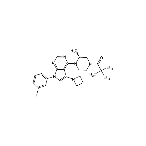 C[C@H]1CN(C(=O)C(C)(C)C)CCN1c1ncnc2c1c(N1CCC1)cn2-c1cccc(F)c1